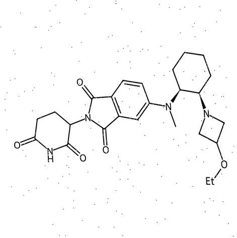 CCOC1CN([C@@H]2CCCC[C@@H]2N(C)c2ccc3c(c2)C(=O)N(C2CCC(=O)NC2=O)C3=O)C1